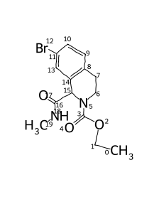 CCOC(=O)N1CCc2ccc(Br)cc2C1C(=O)NC